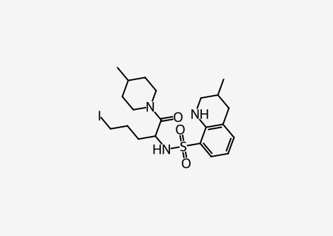 CC1CCN(C(=O)C(CCCI)NS(=O)(=O)c2cccc3c2NCC(C)C3)CC1